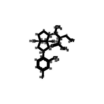 CC(C)C[C@@H](C(N)=O)N(C)[C@H]1CC[C@@H]2CN(c3ccc(F)cc3C(F)(F)F)C[C@@H]21